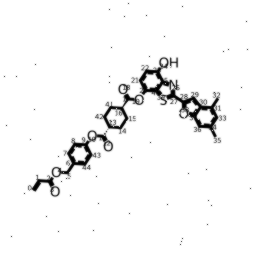 C=CC(=O)OCc1ccc(OC(=O)[C@H]2CC[C@H](C(=O)Oc3ccc(O)c4nc(-c5cc6c(C)cc(C)cc6o5)sc34)CC2)cc1